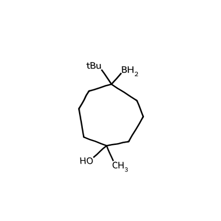 BC1(C(C)(C)C)CCCC(C)(O)CCC1